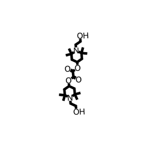 CC1(C)CC(OC(=O)C(=O)OC2CC(C)(C)N(CCO)C(C)(C)C2)CC(C)(C)N1CCO